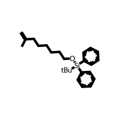 C=C(C)CCCCCCO[Si](c1ccccc1)(c1ccccc1)C(C)(C)C